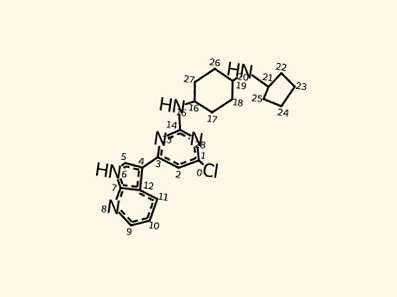 Clc1cc(-c2c[nH]c3ncccc23)nc(NC2CCC(NC3CCCC3)CC2)n1